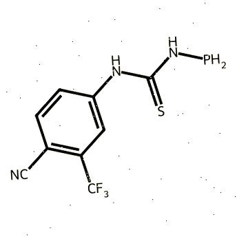 N#Cc1ccc(NC(=S)NP)cc1C(F)(F)F